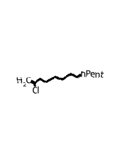 C=C(Cl)CCCCCCCCCCC